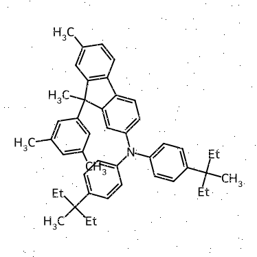 CCC(C)(CC)c1ccc(N(c2ccc(C(C)(CC)CC)cc2)c2ccc3c(c2)C(C)(c2cc(C)cc(C)c2)c2cc(C)ccc2-3)cc1